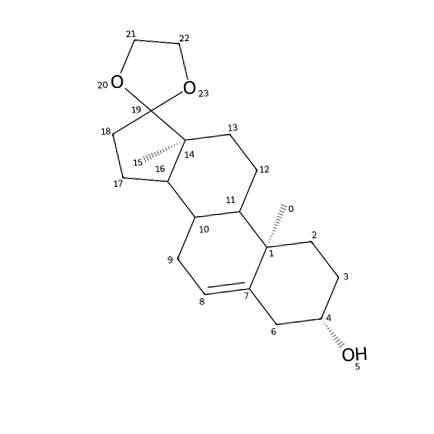 C[C@]12CC[C@H](O)CC1=CCC1C2CC[C@@]2(C)C1CCC21OCCO1